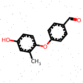 Cc1cc(O)ccc1Oc1ccc(C=O)cc1